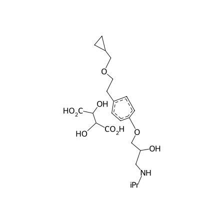 CC(C)NCC(O)COc1ccc(CCOCC2CC2)cc1.O=C(O)C(O)C(O)C(=O)O